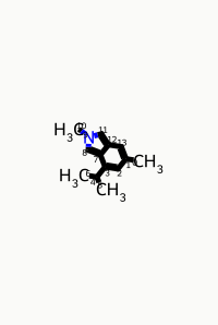 Cc1cc(C(C)C)c2cn(C)cc2c1